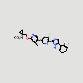 Cc1cc(OCC2(C(=O)O)CC2)ncc1-c1cnc(-c2ncc(C3=CCCC=C3C(F)(F)F)[nH]2)c(F)c1